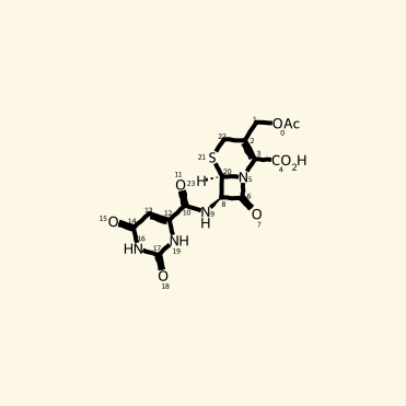 CC(=O)OCC1=C(C(=O)O)N2C(=O)[C@@H](NC(=O)c3cc(=O)[nH]c(=O)[nH]3)[C@H]2SC1